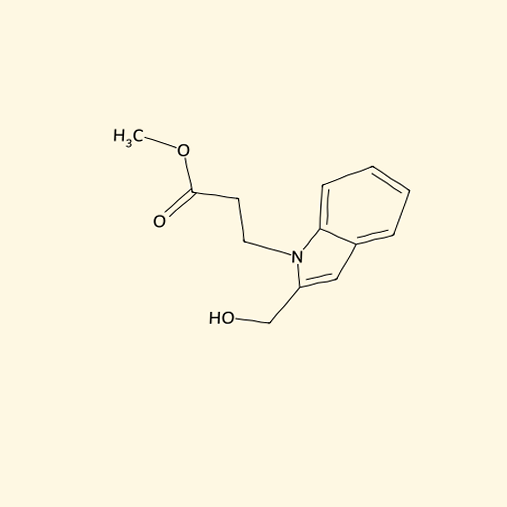 COC(=O)CCn1c(CO)cc2ccccc21